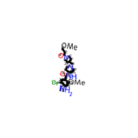 COCCC(=O)N1CCC(CN2CCC(NC(=O)c3cc(Br)c(N)cc3OC)CC2)CC1